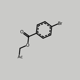 CC(=O)COC(=O)c1ccc(Br)cc1